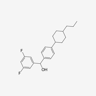 CCCC1CCC(c2ccc(C(O)c3cc(F)cc(F)c3)cc2)CC1